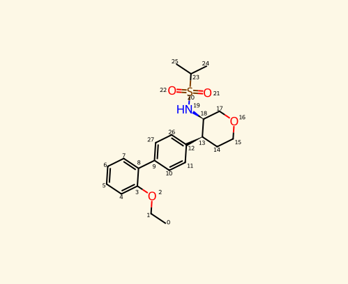 CCOc1ccccc1-c1ccc([C@@H]2CCOC[C@@H]2NS(=O)(=O)C(C)C)cc1